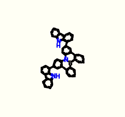 c1ccc2c(c1)B1c3ccccc3-c3cc(-c4cccc5c4[nH]c4ccccc45)ccc3N1c1ccc(-c3cccc4c3[nH]c3ccccc34)cc1-2